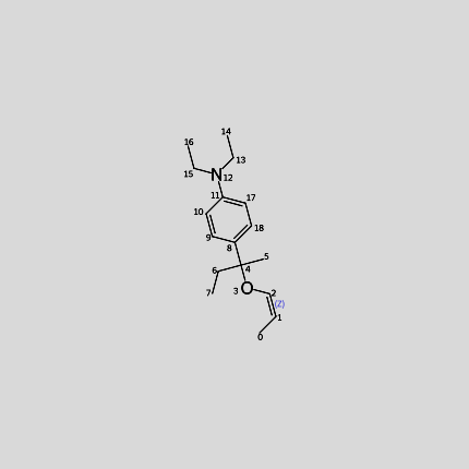 C/C=C\OC(C)(CC)c1ccc(N(CC)CC)cc1